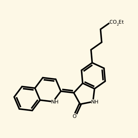 CCOC(=O)CCCc1ccc2c(c1)C(=C1C=Cc3ccccc3N1)C(=O)N2